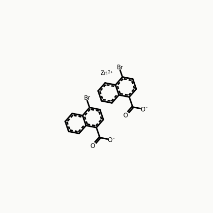 O=C([O-])c1ccc(Br)c2ccccc12.O=C([O-])c1ccc(Br)c2ccccc12.[Zn+2]